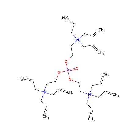 C=CC[N+](CC=C)(CC=C)CCOP(=O)(OCC[N+](CC=C)(CC=C)CC=C)OCC[N+](CC=C)(CC=C)CC=C